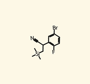 C[Si](C)(C)CC(C#N)c1cc(Br)ccc1F